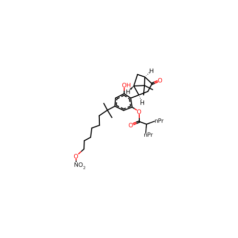 CCCC(CCC)C(=O)Oc1cc(C(C)(C)CCCCCCO[N+](=O)[O-])cc(O)c1[C@@H]1CC(=O)[C@@H]2C[C@@H]1C2(C)C